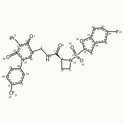 CC(C)n1c(=O)c(CNC(=O)[C@@H]2CCN2S(=O)(=O)c2cc3cc(F)ccc3o2)cn(-c2ccc(C(F)(F)F)cc2)c1=O